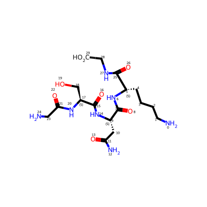 NCCCC[C@H](NC(=O)[C@H](CC(N)=O)NC(=O)[C@H](CO)NC(=O)CN)C(=O)NCC(=O)O